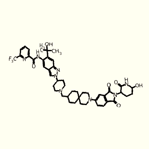 CC(C)(O)c1cc2nn(C3CCN(CC4CCC5(CC4)CCN(c4ccc6c(c4)C(=O)N(C4CCC(O)NC4=O)C6=O)CC5)CC3)cc2cc1NC(=O)c1cccc(C(F)(F)F)n1